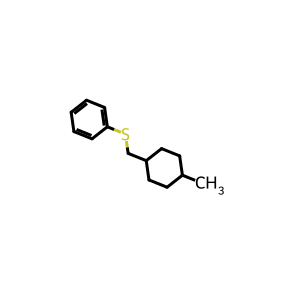 CC1CCC(CSc2ccccc2)CC1